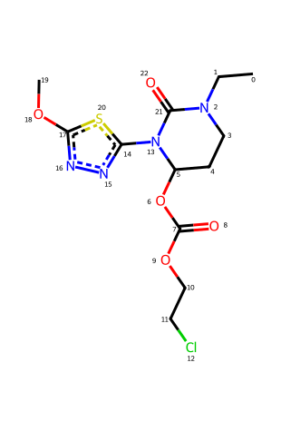 CCN1CCC(OC(=O)OCCCl)N(c2nnc(OC)s2)C1=O